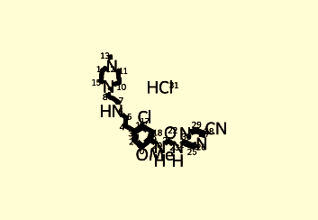 COc1cc(CCNCCN2CCN(C)CC2)c(Cl)cc1NC(=O)Nc1cnc(C#N)cn1.Cl